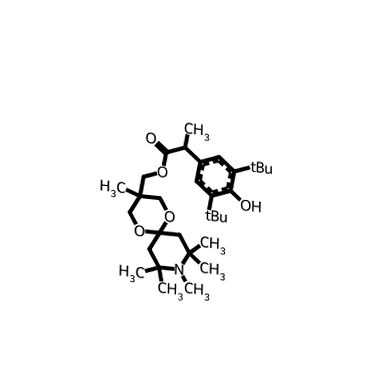 CC(C(=O)OCC1(C)COC2(CC(C)(C)N(C)C(C)(C)C2)OC1)c1cc(C(C)(C)C)c(O)c(C(C)(C)C)c1